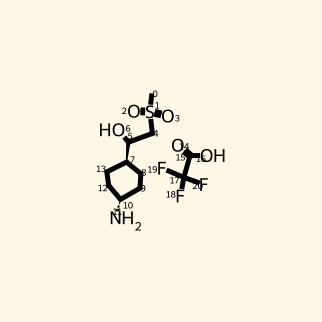 CS(=O)(=O)CC(O)[C@H]1CC[C@H](N)CC1.O=C(O)C(F)(F)F